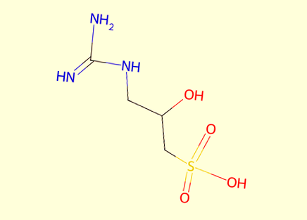 N=C(N)NCC(O)CS(=O)(=O)O